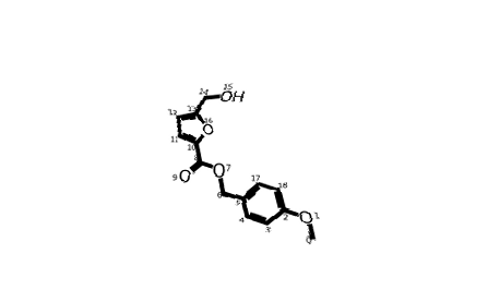 COc1ccc(COC(=O)c2ccc(CO)o2)cc1